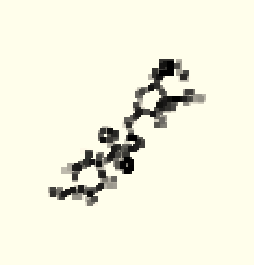 BC1CC(COS(=O)(=O)c2ccc(C)cc2)C=C1F